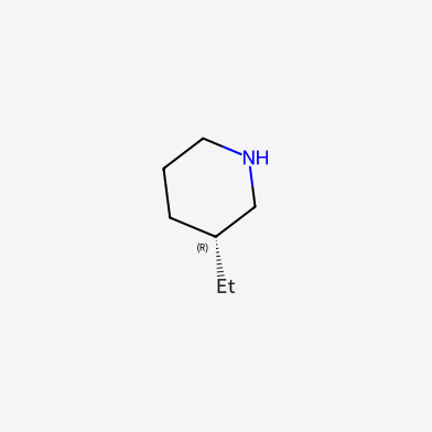 [CH2]C[C@@H]1CCCNC1